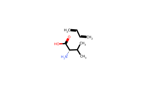 C=CC=C.CC(C)[C@H](N)C(=O)O